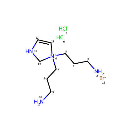 Cl.Cl.NCCC[N+]1(CCCN)C=CNC1.[Br-]